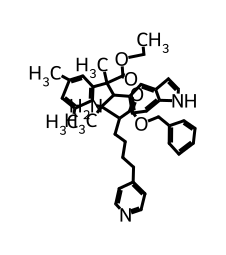 CCOC(=O)C(C)(c1cc(C)cc(C)c1)C(c1ccc2[nH]ccc2c1)C(C)(N)C(CCCCc1ccncc1)C(=O)OCc1ccccc1